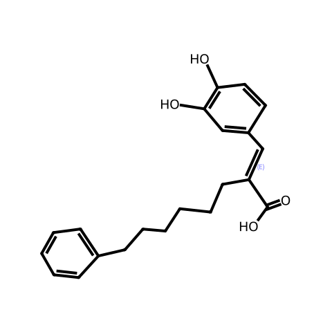 O=C(O)/C(=C/c1ccc(O)c(O)c1)CCCCCCc1ccccc1